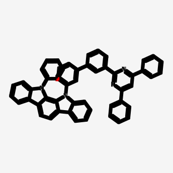 c1ccc(-c2cc(-c3ccccc3)nc(-c3cccc(-c4cccc(-n5c6ccccc6c6ccc7c8ccccc8n(-c8ccccc8)c7c65)c4)c3)n2)cc1